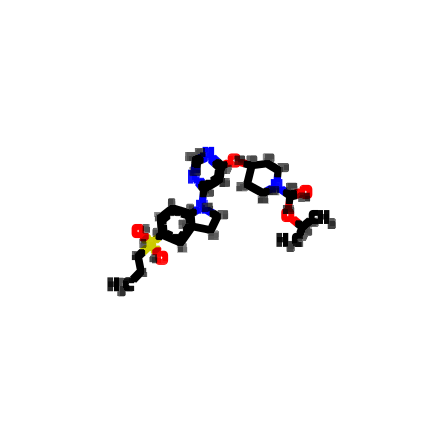 CCCS(=O)(=O)c1ccc2c(c1)CCN2c1cc(OC2CCN(C(=O)OC(C)C)CC2)ncn1